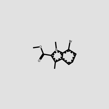 COC(=O)c1c(C)c2cccc(Br)c2n1C